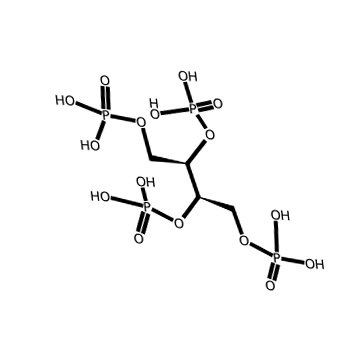 O=P(O)(O)OC[C@@H](OP(=O)(O)O)[C@@H](COP(=O)(O)O)OP(=O)(O)O